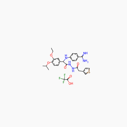 CCOc1cc(C(Nc2ccc(C(=N)N)cc2)C(=O)NNC(=O)Cc2ccsc2)ccc1OC(C)C.O=C(O)C(F)(F)F